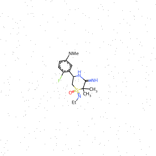 CCN=S1(=O)CC(c2cc(NC)ccc2F)NC(=N)C1(C)C